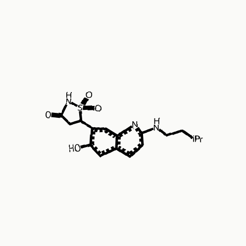 CC(C)CCNc1ccc2cc(O)c(C3CC(=O)NS3(=O)=O)cc2n1